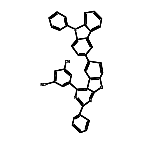 N#Cc1cc(C#N)cc(-c2nc(-c3ccccc3)nc3oc4ccc(-c5ccc6c(c5)c5ccccc5n6-c5ccccc5)cc4c23)c1